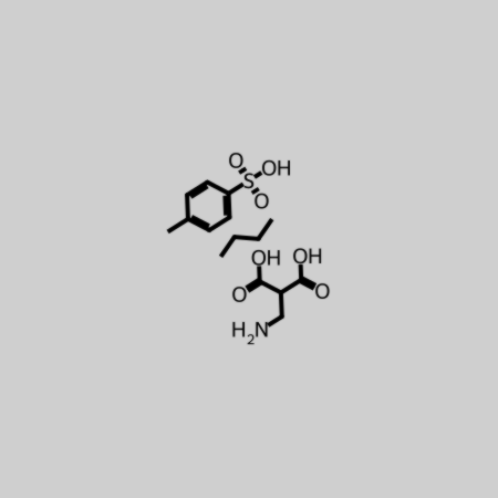 CCCC.Cc1ccc(S(=O)(=O)O)cc1.NCC(C(=O)O)C(=O)O